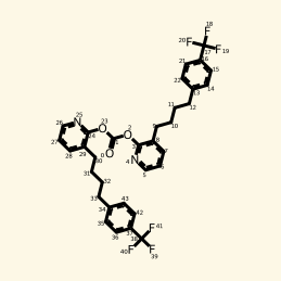 O=C(Oc1ncccc1CCCCc1ccc(C(F)(F)F)cc1)Oc1ncccc1CCCCc1ccc(C(F)(F)F)cc1